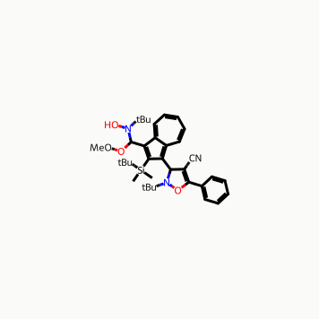 COOC(c1c2cccccc-2c(C2C(C#N)=C(c3ccccc3)ON2C(C)(C)C)c1[Si](C)(C)C(C)(C)C)N(O)C(C)(C)C